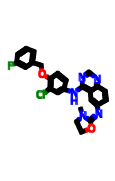 CN1CCOC1=Nc1ccc2ncnc(Nc3ccc(OCc4cccc(F)c4)c(Cl)c3)c2c1